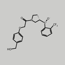 O=C(COc1ccc(CO)cc1)N1CC[C@H]([S@@+]([O-])c2ccccc2C(F)(F)F)C1